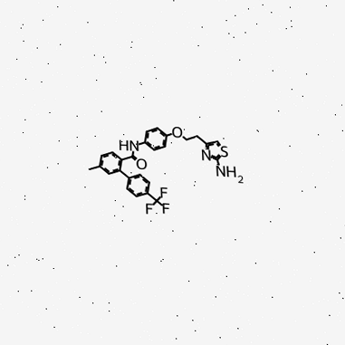 Cc1ccc(C(=O)Nc2ccc(OCCc3csc(N)n3)cc2)c(-c2ccc(C(F)(F)F)cc2)c1